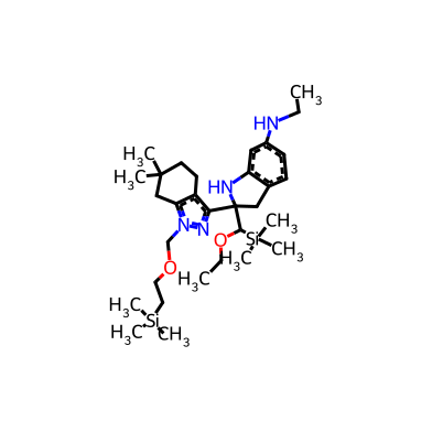 CCNc1ccc2c(c1)NC(c1nn(COCC[Si](C)(C)C)c3c1CCC(C)(C)C3)(C(OCC)[Si](C)(C)C)C2